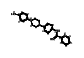 N=C(Nc1ccc(N2CCN(c3ccc(O)cc3)CC2)cc1)c1ccccn1